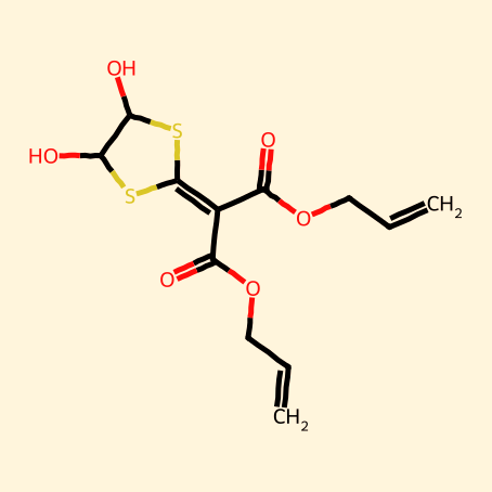 C=CCOC(=O)C(C(=O)OCC=C)=C1SC(O)C(O)S1